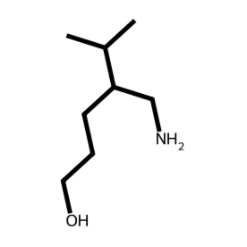 CC(C)C(CN)CCCO